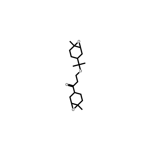 CC(C)(OCCC(=O)C1CCC2(C)OC2C1)C1CCC2(C)OC2C1